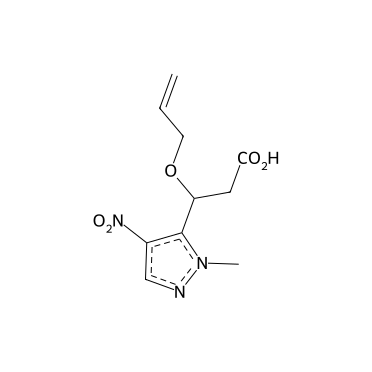 C=CCOC(CC(=O)O)c1c([N+](=O)[O-])cnn1C